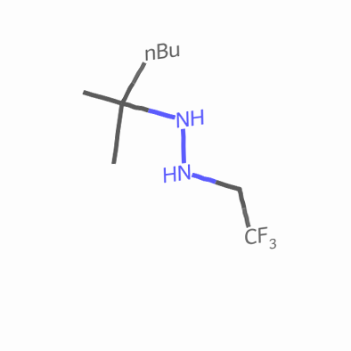 CCCCC(C)(C)NNCC(F)(F)F